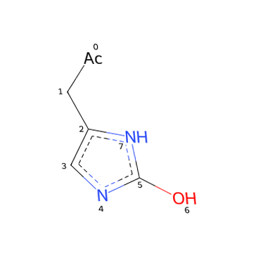 CC(=O)Cc1cnc(O)[nH]1